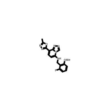 COc1cccc(F)c1CNc1ccc(-c2nnc(C)o2)c2nncn12